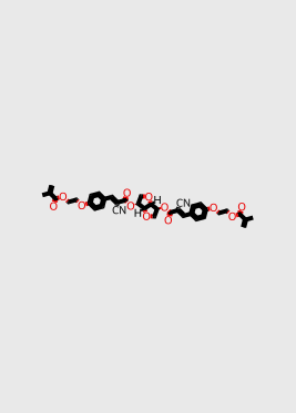 C=C(C)C(=O)OCCOc1ccc(/C=C(\C#N)C(=O)O[C@H]2CO[C@H]3[C@@H]2OC[C@H]3OC(=O)/C(C#N)=C/c2ccc(OCCOC(=O)C(=C)C)cc2)cc1